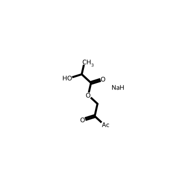 CC(=O)C(=O)COC(=O)C(C)O.[NaH]